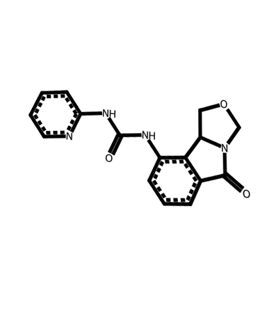 O=C(Nc1ccccn1)Nc1cccc2c1C1COCN1C2=O